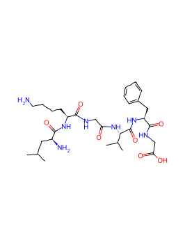 CC(C)C[C@H](N)C(=O)N[C@@H](CCCCN)C(=O)NCC(=O)N[C@H](C(=O)N[C@@H](Cc1ccccc1)C(=O)NCC(=O)O)C(C)C